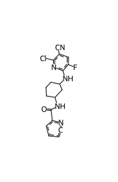 N#Cc1cc(F)c(NC2CCCC(NC(=O)c3ccccn3)C2)nc1Cl